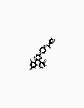 O=C(NC1CCN(c2cnc(-c3ccc(F)cc3F)c(-c3ccncc3Cl)n2)CC1)c1ccno1